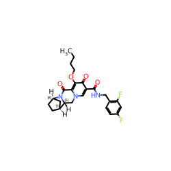 CCCCOc1c2n(cc(C(=O)NCc3ccc(F)cc3F)c1=O)C[C@@H]1[C@H]3CC[C@H](C3)N1C2=O